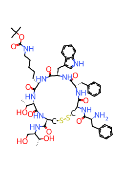 C[C@@H](O)[C@@H]1NC(=O)[C@H](CCCCCNC(=O)OC(C)(C)C)NC(=O)[C@@H](Cc2c[nH]c3ccccc23)NC(=O)[C@H](Cc2ccccc2)NC(=O)[C@@H](NC(=O)[C@H](N)Cc2ccccc2)CSSC[C@@H](C(=O)N[C@H](CO)[C@@H](C)O)NC1=O